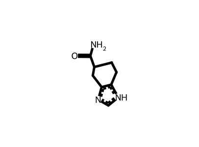 NC(=O)C1CCc2[nH]cnc2C1